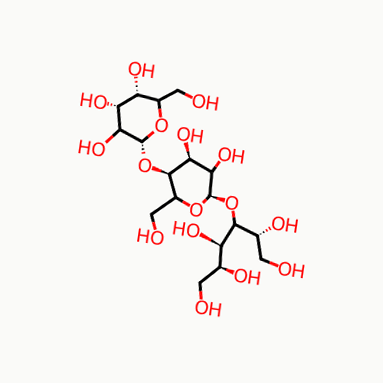 OCC1O[C@H](O[C@@H]2C(CO)O[C@H](OC([C@H](O)CO)[C@H](O)[C@@H](O)CO)C(O)[C@@H]2O)C(O)[C@H](O)[C@@H]1O